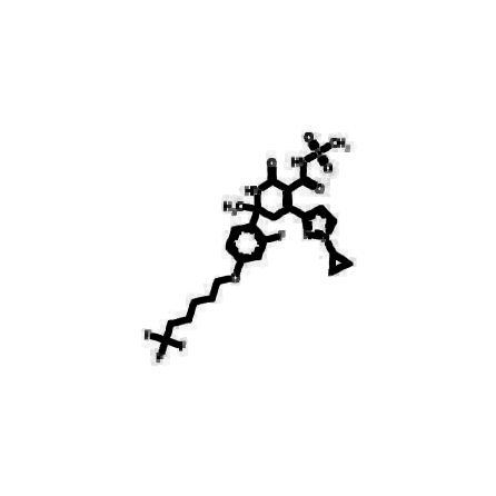 CC1(c2ccc(OCCCCCC(F)(F)F)cc2F)CC(c2ccn(C3CC3)n2)=C(C(=O)NS(C)(=O)=O)C(=O)N1